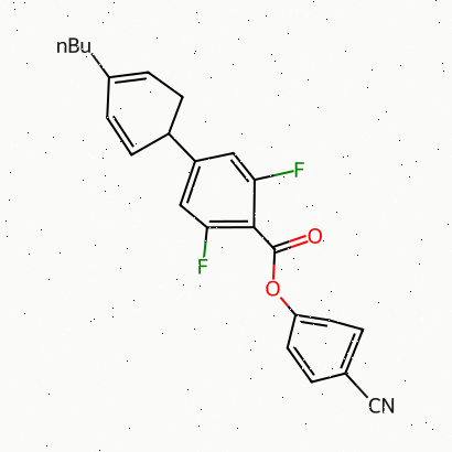 CCCCC1=CCC(c2cc(F)c(C(=O)Oc3ccc(C#N)cc3)c(F)c2)C=C1